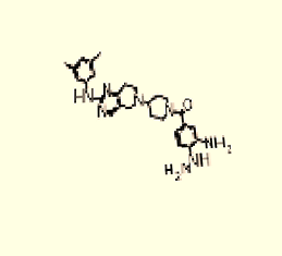 Cc1cc(C)cc(Nc2ncc3c(n2)CCN(C2CCN(C(=O)c4ccc(NN)c(N)c4)CC2)C3)c1